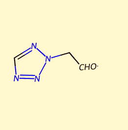 O=[C]Cn1ncnn1